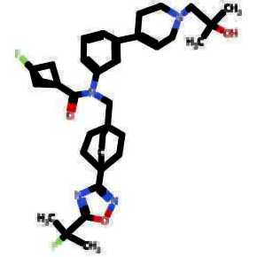 CC(C)(O)CN1CC=C(c2cccc(N(CC34CCC(c5noc(C(C)(C)F)n5)(CC3)CC4)C(=O)C34CC(F)(C3)C4)c2)CC1